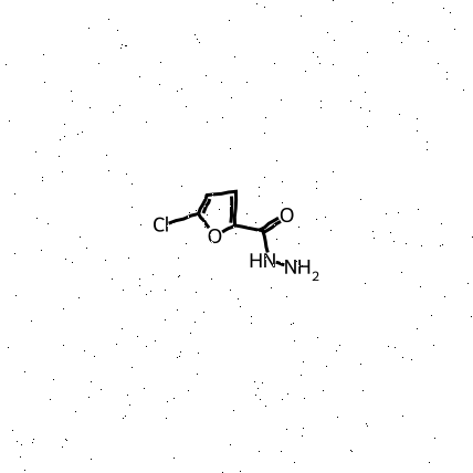 NNC(=O)c1ccc(Cl)o1